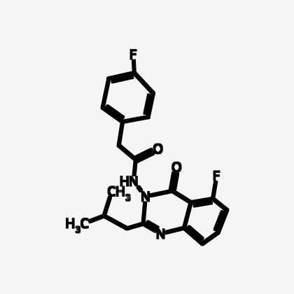 CC(C)Cc1nc2cccc(F)c2c(=O)n1NC(=O)Cc1ccc(F)cc1